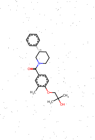 Cc1cc(C(=O)N2CCC[C@@H](c3ccccc3)C2)ccc1OCC(C)(C)O